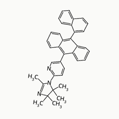 CC1=NC(C)(C)C(C)(C)N1c1ccc(-c2c3ccccc3c(-c3cccc4ccccc34)c3ccccc23)cn1